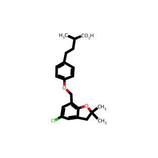 CC(CCc1ccc(OCc2cc(Cl)cc3c2OC(C)(C)C3)cc1)C(=O)O